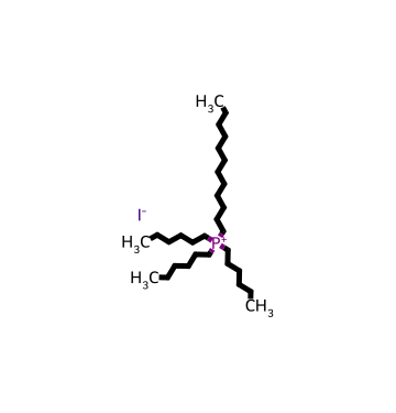 CCCCCCCCCCCC[P+](CCCCCC)(CCCCCC)CCCCCC.[I-]